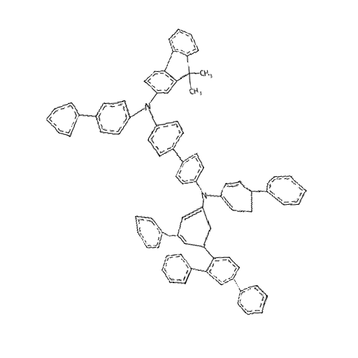 CC1(C)c2ccccc2-c2ccc(N(c3ccc(-c4ccccc4)cc3)c3ccc(-c4ccc(N(C5=CCC(c6ccccc6)C=C5)C5=CC(c6ccccc6)=CC(c6ccc(-c7ccccc7)cc6-c6ccccc6)C5)cc4)cc3)cc21